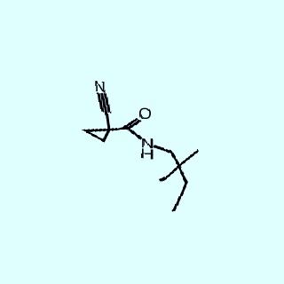 CCC(C)(C)CNC(=O)C1(C#N)CC1